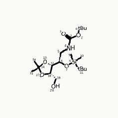 CC(C)(C)OC(=O)NC[C@@H](O[Si](C)(C)C(C)(C)C)[C@H]1OC(C)(C)O[C@H]1CO